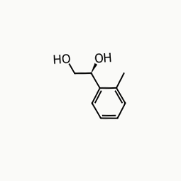 Cc1ccccc1[C@H](O)CO